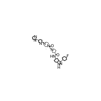 C[C@@H]1CN(c2ccc(-c3ncccn3)cn2)CCN1C(=O)CN1CC[C@@H](C(=O)Nc2ccc3[nH]nc(-c4ccc(F)cc4)c3c2)C1